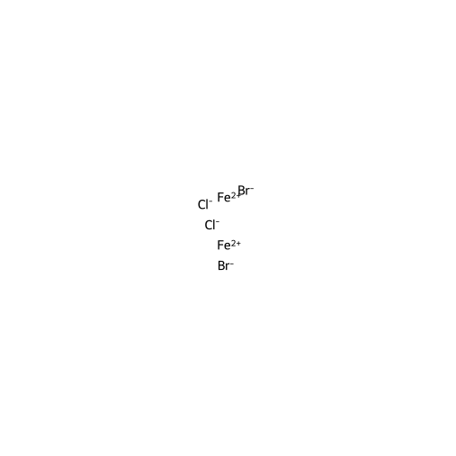 [Br-].[Br-].[Cl-].[Cl-].[Fe+2].[Fe+2]